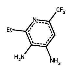 CCc1nc(C(F)(F)F)cc(N)c1N